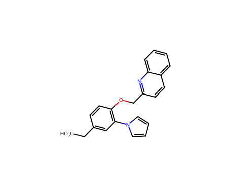 O=C(O)Cc1ccc(OCc2ccc3ccccc3n2)c(-n2cccc2)c1